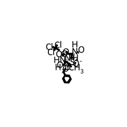 CC1(C)[S+]([O-])[C@@H]2[C@H](NC=O)C(=O)N2[C@@]1(NC(=O)OCC(Cl)(Cl)Cl)C(=O)OCc1ccccc1